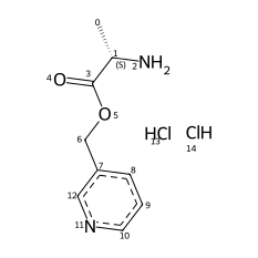 C[C@H](N)C(=O)OCc1cccnc1.Cl.Cl